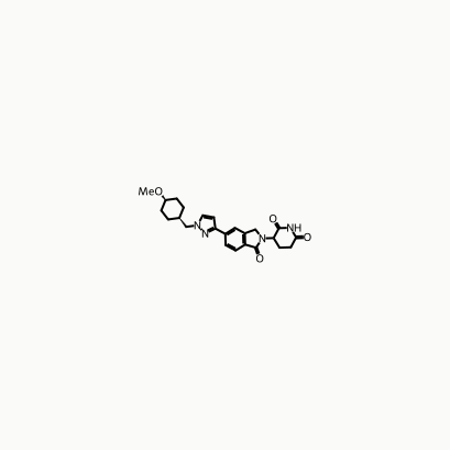 CO[C@H]1CC[C@@H](Cn2ccc(-c3ccc4c(c3)CN(C3CCC(=O)NC3=O)C4=O)n2)CC1